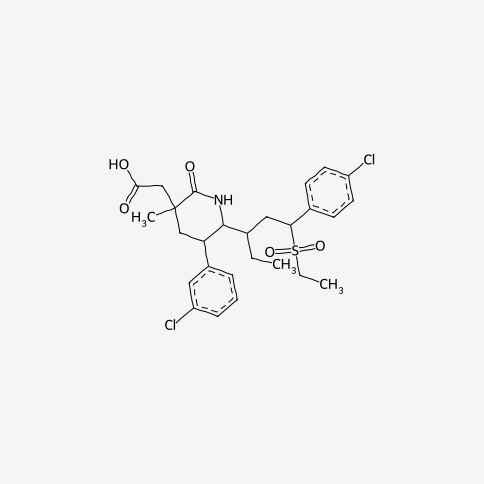 CCC(CC(c1ccc(Cl)cc1)S(=O)(=O)CC)C1NC(=O)C(C)(CC(=O)O)CC1c1cccc(Cl)c1